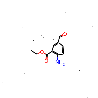 CCOC(=O)c1cc(C=O)ccc1N